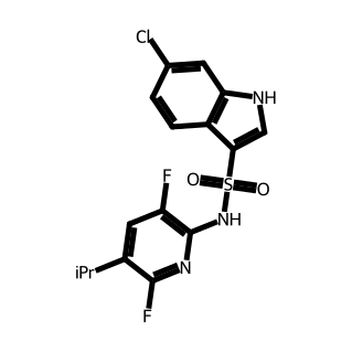 CC(C)c1cc(F)c(NS(=O)(=O)c2c[nH]c3cc(Cl)ccc23)nc1F